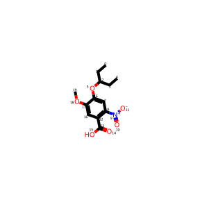 CCC(CC)Oc1cc([N+](=O)[O-])c(C(=O)O)cc1OC